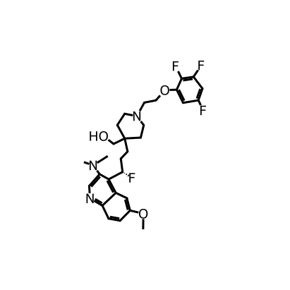 COc1ccc2ncc(N(C)C)c([C@@H](F)CCC3(CO)CCN(CCOc4cc(F)cc(F)c4F)CC3)c2c1